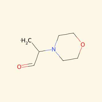 [CH2]C(C=O)N1CCOCC1